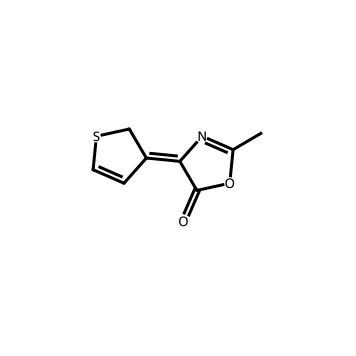 CC1=NC(=C2C=CSC2)C(=O)O1